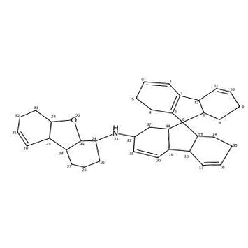 C1=CC2=C(CC1)C1(C3CCC=CC23)C2CCC=CC2C2C=CC(NC3CCCC4C5C=CCCC5OC34)CC21